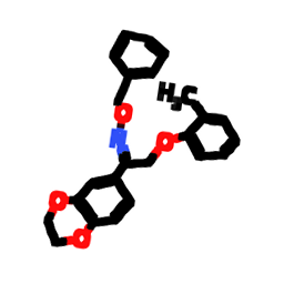 Cc1ccccc1OCC(=NOCc1ccccc1)c1ccc2c(c1)OCCO2